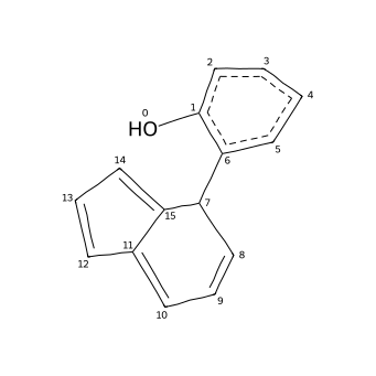 Oc1ccccc1C1C=CC=C2C=CC=C21